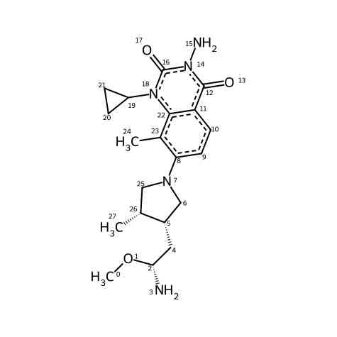 CO[C@@H](N)C[C@H]1CN(c2ccc3c(=O)n(N)c(=O)n(C4CC4)c3c2C)C[C@H]1C